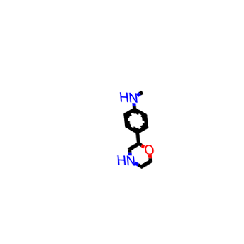 CNc1ccc(C2CNCCO2)cc1